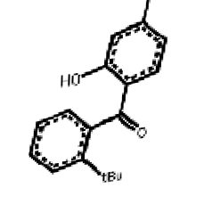 CC(C)(C)c1ccc(C(=O)c2ccccc2C(C)(C)C)c(O)c1